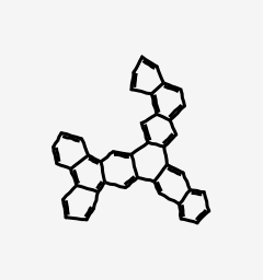 c1ccc2cc3c(cc2c1)c1cc2ccc4ccccc4c2cc1c1cc2c4ccccc4c4ccccc4c2cc31